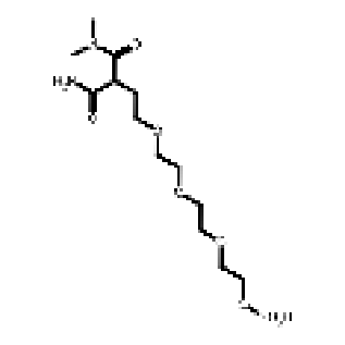 CN(C)C(=O)C(CCOCCOCCOCCSS(=O)(=O)O)C(N)=O